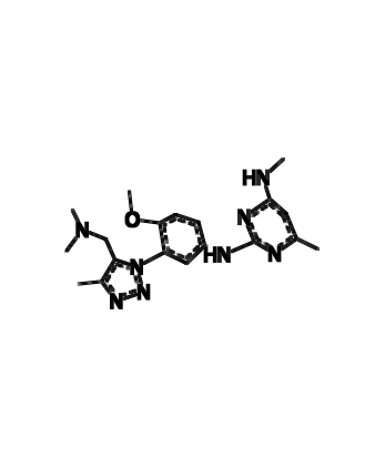 CNc1cc(C)nc(Nc2ccc(OC)c(-n3nnc(C)c3CN(C)C)c2)n1